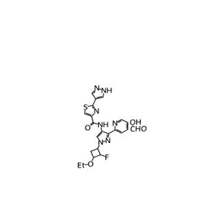 CCOC1CC(n2cc(NC(=O)c3csc(-c4cn[nH]c4)n3)c(-c3ccccn3)n2)C1F.O=CO